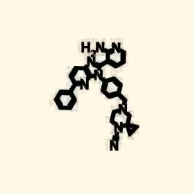 N#CN1CCN(Cc2ccc(-n3c(-c4cccnc4N)nc4ccc(-c5ccccc5)nc43)cc2)CC12CC2